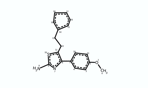 COc1ccc(-c2nc(N)sc2CCc2ccccc2)cc1